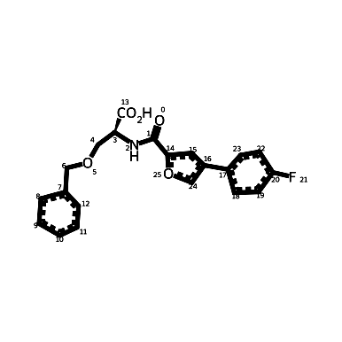 O=C(N[C@@H](COCc1ccccc1)C(=O)O)c1cc(-c2ccc(F)cc2)co1